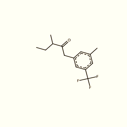 CCC(C)C(=O)Cc1cc(C)cc(C(F)(F)F)c1